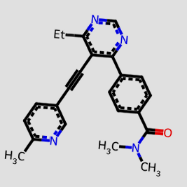 CCc1ncnc(-c2ccc(C(=O)N(C)C)cc2)c1C#Cc1ccc(C)nc1